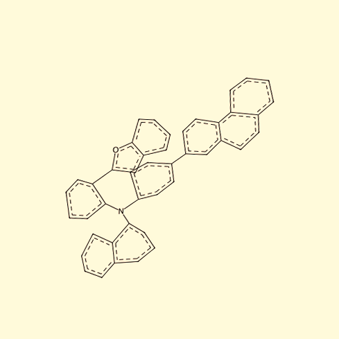 c1ccc(N(c2ccc(-c3ccc4c(ccc5ccccc54)c3)cc2)c2cccc3ccccc23)c(-c2cc3ccccc3o2)c1